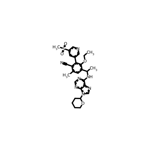 CCOc1c(C(C)Nc2ncnc3c2ncn3C2CCCCO2)cc(C)c(C#N)c1-c1cncc(S(C)(=O)=O)c1